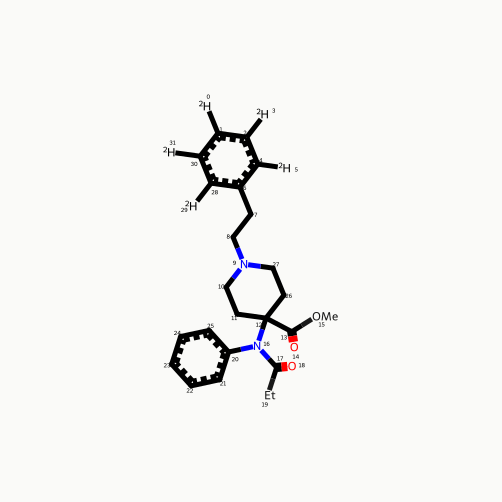 [2H]c1c([2H])c([2H])c(CCN2CCC(C(=O)OC)(N(C(=O)CC)c3ccccc3)CC2)c([2H])c1[2H]